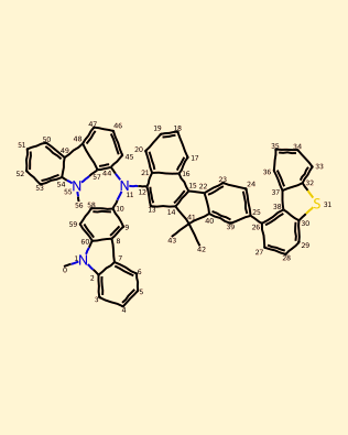 Cn1c2ccccc2c2cc(N(c3cc4c(c5ccccc35)-c3ccc(-c5cccc6sc7ccccc7c56)cc3C4(C)C)c3cccc4c5ccccc5n(C)c34)ccc21